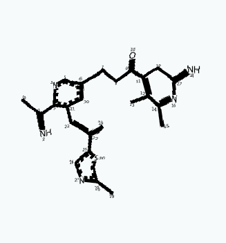 CC(=N)c1ncc(CCC(=O)C2=C(C)C(C)=NC(=N)C2)cc1/C=C(\C)c1cnc(C)s1